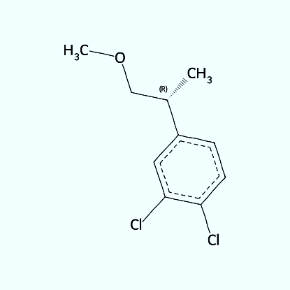 COC[C@H](C)c1ccc(Cl)c(Cl)c1